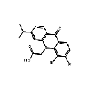 CC(C)c1ccc2c(=O)c3ccc(Br)c(Br)c3n(CC(=O)O)c2c1